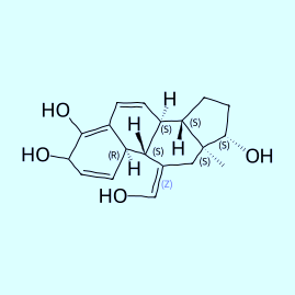 C[C@]12C/C(=C/O)[C@H]3[C@@H](C=CC4=C(O)C(O)C=C[C@@H]43)[C@@H]1CC[C@@H]2O